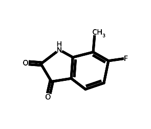 Cc1c(F)ccc2c1NC(=O)C2=O